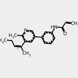 C=CC(=O)Nc1cccc(-c2cnc(C)c(/C(C)=C\CC)c2)c1